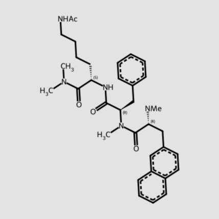 CN[C@H](Cc1ccc2ccccc2c1)C(=O)N(C)[C@H](Cc1ccccc1)C(=O)N[C@@H](CCCCNC(C)=O)C(=O)N(C)C